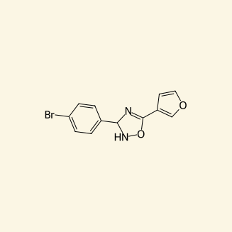 Brc1ccc(C2N=C(c3ccoc3)ON2)cc1